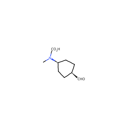 CN(C(=O)O)[C@H]1CC[C@@H](C=O)CC1